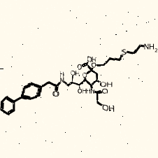 NCCSCCCOC1(C(=O)O)CC(O)C(NC(=O)CO)C([C@@H](O)[C@H](O)CNC(=O)Cc2ccc(-c3ccccc3)cc2)O1